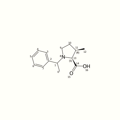 CC(c1ccccc1)N1CC[C@@H](C)[C@H]1C(=O)O